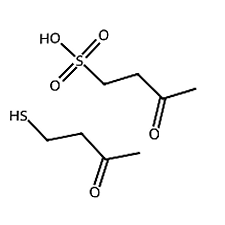 CC(=O)CCS.CC(=O)CCS(=O)(=O)O